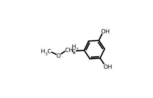 COC.Cc1cc(O)cc(O)c1